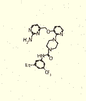 CCc1cc(NC(=O)N2CCN(c3ncccc3OCc3ccnc(N)n3)CC2)cc(C(F)(F)F)c1